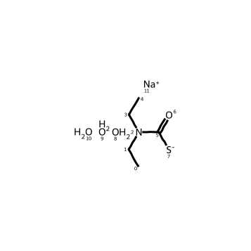 CCN(CC)C(=O)[S-].O.O.O.[Na+]